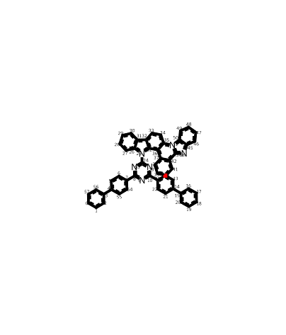 c1ccc(-c2ccc(-c3nc(-c4ccc(-c5ccccc5)cc4)nc(-n4c5ccccc5c5ccc6c(c7ccccc7c7nc8ccccc8n67)c54)n3)cc2)cc1